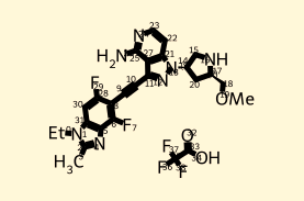 CCn1c(C)nc2c(F)c(C#Cc3nn([C@@H]4CN[C@@H](COC)C4)c4ccnc(N)c34)c(F)cc21.O=C(O)C(F)(F)F